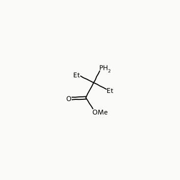 CCC(P)(CC)C(=O)OC